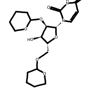 O=c1ccn([C@@H]2O[C@H](COC3CCCCO3)[C@@H](O)[C@H]2OC2CCCCO2)c(=O)[nH]1